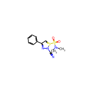 CN(C)S(=O)(=O)S1=CC(c2ccccc2)=NN1C#N